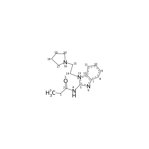 CCC(=O)Nc1nc2ccccc2n1CCN1CCCC1